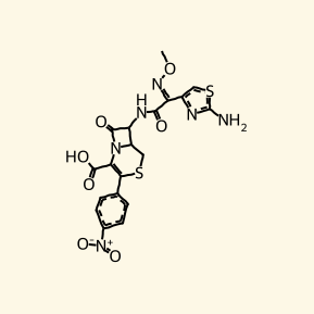 CON=C(C(=O)NC1C(=O)N2C(C(=O)O)=C(c3ccc([N+](=O)[O-])cc3)SCC12)c1csc(N)n1